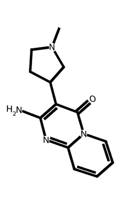 CN1CCC(c2c(N)nc3ccccn3c2=O)C1